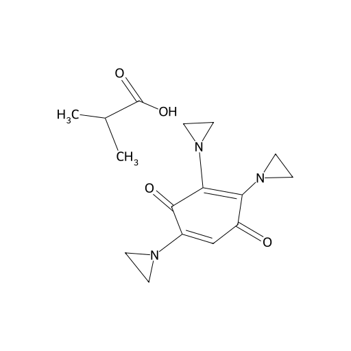 CC(C)C(=O)O.O=C1C=C(N2CC2)C(=O)C(N2CC2)=C1N1CC1